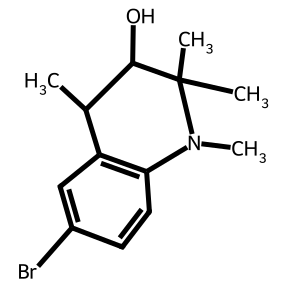 CC1c2cc(Br)ccc2N(C)C(C)(C)C1O